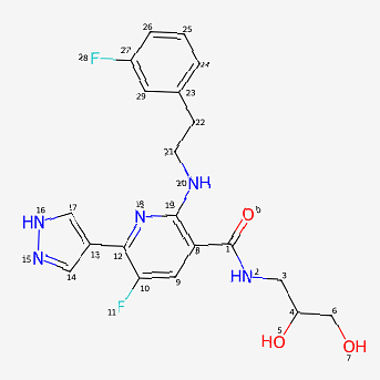 O=C(NCC(O)CO)c1cc(F)c(-c2cn[nH]c2)nc1NCCc1cccc(F)c1